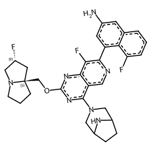 Nc1cc(-c2ncc3c(N4CC5CCC(C4)N5)nc(OC[C@@]45CCCN4C[C@H](F)C5)nc3c2F)c2c(F)cccc2c1